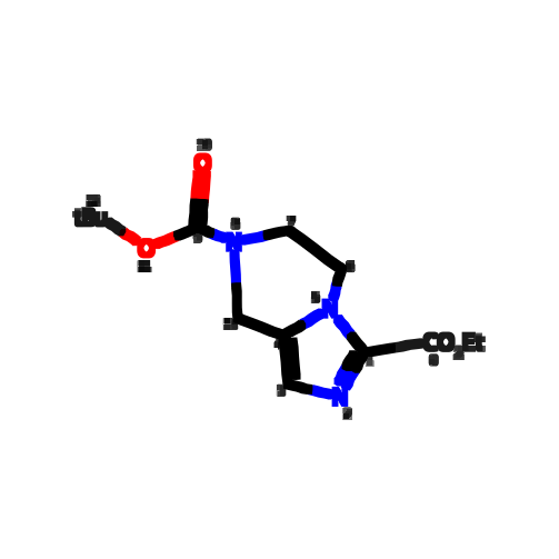 CCOC(=O)c1ncc2n1CCN(C(=O)OC(C)(C)C)C2